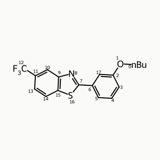 CCCCOc1cccc(-c2nc3cc(C(F)(F)F)ccc3s2)c1